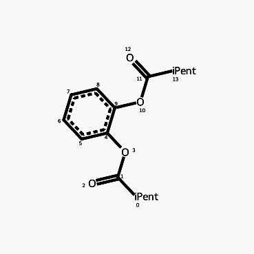 CCCC(C)C(=O)Oc1ccccc1OC(=O)C(C)CCC